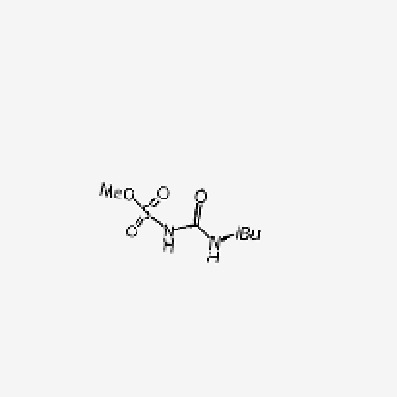 CC[C@H](C)NC(=O)NS(=O)(=O)OC